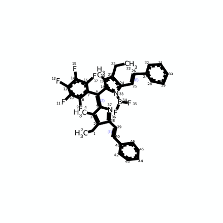 CCC1=C(C)/C(=C(\c2c(F)c(F)c(F)c(F)c2F)c2c(C)c(CC)c(/C=C/c3ccccc3)n2B(F)F)N=C1/C=C/c1ccccc1